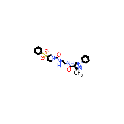 O=C(NCCNC(=O)N1CCC(S(=O)(=O)c2ccccc2)C1)c1cn(-c2ccccc2)nc1C(F)(F)F